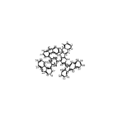 c1ccc2cc3c(cc2c1)Cc1c(-c2nc(-c4cccc5sc6ccccc6c45)nc(-c4cccc5sc6ccccc6c45)n2)cc(-n2c4ccccc4c4cc5ccccc5cc42)cc1-3